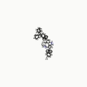 C=C[C@@H]1CC(/C=C\[C@@H]2CC(/C=C/CC)C(C3Oc4ccc(C)cc4O3)C2)CC1C1Oc2ccc(P(c3ccccc3)c3ccccc3)cc2O1